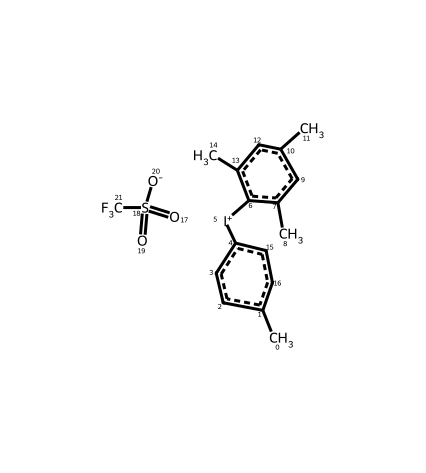 Cc1ccc([I+]c2c(C)cc(C)cc2C)cc1.O=S(=O)([O-])C(F)(F)F